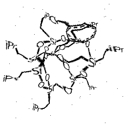 CC(C)C[Si]12O[Si]3(Cc4ccccc4Cl)O[Si]4(CC(C)C)O[Si](CC(C)C)(O1)O[Si]1(CC(C)C)O[Si](CC(C)C)(O2)O[Si](CC(C)C)(O3)O[Si](CC(C)C)(O4)O1